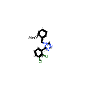 COc1ccccc1Cn1cnnc1-c1cccc(Cl)c1Cl